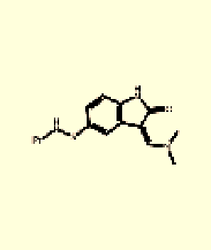 CC(C)NSc1ccc2c(c1)/C(=C/N(C)C)C(=O)N2